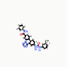 O=C(Nc1cccc(C(F)(F)F)c1)Nc1ccc(-c2ccc(C(=O)Nc3ccccc3)cc2)c(-c2nnn[nH]2)c1